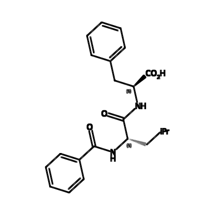 CC(C)C[C@H](NC(=O)c1ccccc1)C(=O)N[C@@H](Cc1ccccc1)C(=O)O